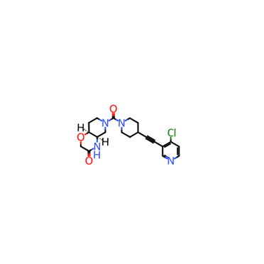 O=C1CO[C@H]2CCN(C(=O)N3CCC(C#Cc4cnccc4Cl)CC3)C[C@H]2N1